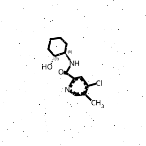 Cc1cnc(C(=O)N[C@@H]2CCCC[C@H]2O)cc1Cl